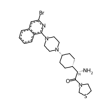 N[C@H](C(=O)N1CCSC1)[C@H]1CC[C@@H](N2CCN(c3nc(Br)cc4ccccc34)CC2)CC1